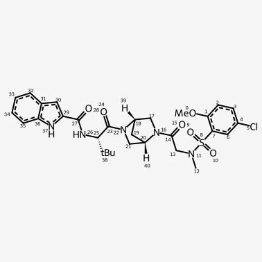 COc1ccc(Cl)cc1S(=O)(=O)N(C)CC(=O)N1C[C@@H]2C[C@H]1CN2C(=O)[C@@H](NC(=O)c1cc2ccccc2[nH]1)C(C)(C)C